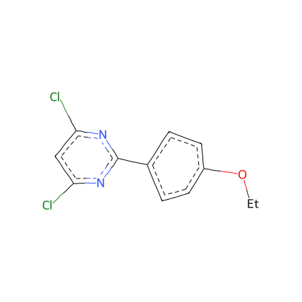 CCOc1ccc(-c2nc(Cl)cc(Cl)n2)cc1